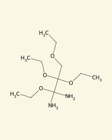 CCOCC(OCC)(OCC)C(N)(N)OCC